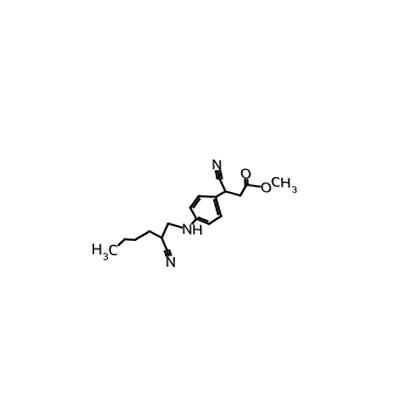 CCCCC(C#N)CNc1ccc(C(C#N)CC(=O)OC)cc1